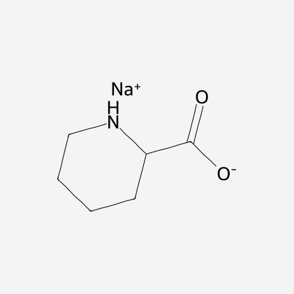 O=C([O-])C1CCCCN1.[Na+]